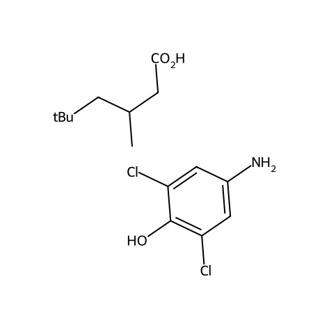 CC(CC(=O)O)CC(C)(C)C.Nc1cc(Cl)c(O)c(Cl)c1